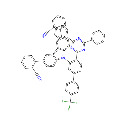 N#Cc1ccccc1-c1ccc2c(c1)c1cc(-c3ccccc3C#N)ccc1n2-c1cc(-c2ccc(C(F)(F)F)cc2)ccc1-c1nc(-c2ccccc2)nc(-c2ccccc2)n1